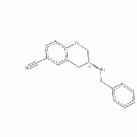 N#Cc1ccc2c(c1)C[C@H](NCc1ccccc1)CO2